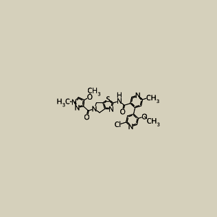 COc1cnc(Cl)cc1-c1cc(C)ncc1C(=O)Nc1nc2c(s1)CN(C(=O)c1nn(C)cc1OC)C2